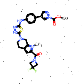 Cn1c(C(=O)N2CC(F)(F)C2)cc2c1CN(c1nnc(Nc3ccc(-c4cnn(C(=O)OC(C)(C)C)c4)cc3)s1)CC2